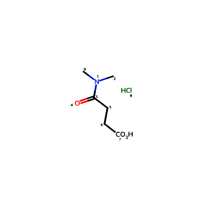 CN(C)C(=O)CCC(=O)O.Cl